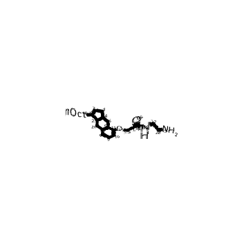 CCCCCCCCC1CCC2Cc3c(cccc3OCC(=O)NCCN)CC12